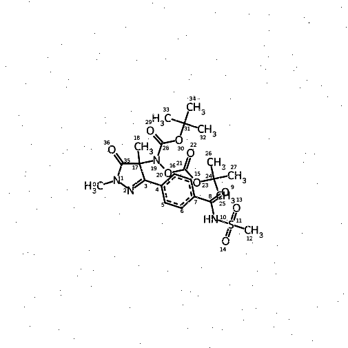 CN1N=C(c2ccc(C(=O)NS(C)(=O)=O)cc2)C(C)(N(OC(=O)OC(C)(C)C)C(=O)OC(C)(C)C)C1=O